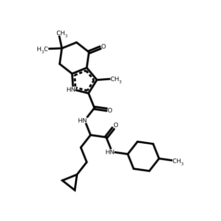 Cc1c(C(=O)NC(CCC2CC2)C(=O)NC2CCC(C)CC2)[nH]c2c1C(=O)CC(C)(C)C2